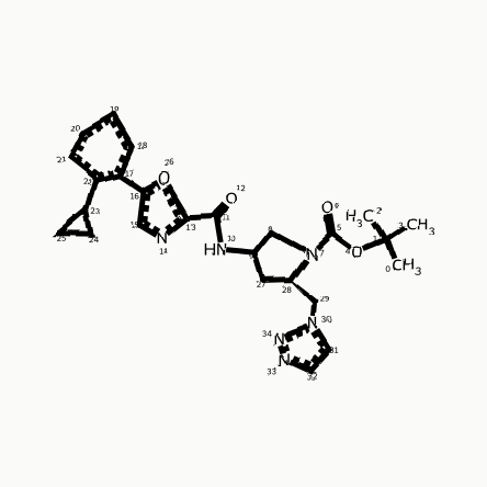 CC(C)(C)OC(=O)N1CC(NC(=O)c2ncc(-c3ccccc3C3CC3)o2)C[C@@H]1Cn1ccnn1